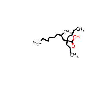 CCCCCCC(C)CC(CCCC)(CCCC)C(=O)O